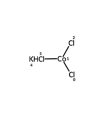 [Cl][Co]([Cl])[Cl].[KH]